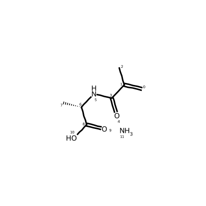 C=C(C)C(=O)N[C@@H](C)C(=O)O.N